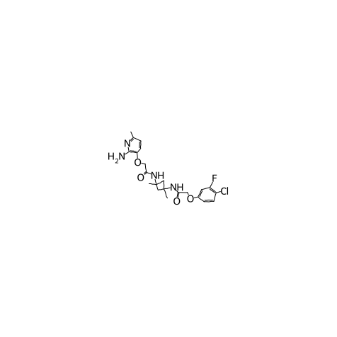 Cc1ccc(OCC(=O)NC2(C)CC(C)(NC(=O)COc3ccc(Cl)c(F)c3)C2)c(N)n1